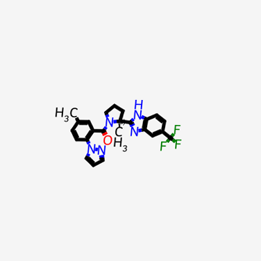 Cc1ccc(-n2cccn2)c(C(=O)N2CCC[C@@]2(C)c2nc3cc(C(F)(F)F)ccc3[nH]2)c1